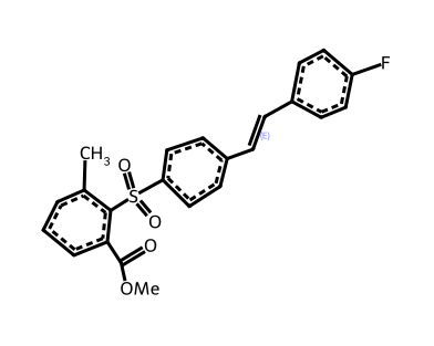 COC(=O)c1cccc(C)c1S(=O)(=O)c1ccc(/C=C/c2ccc(F)cc2)cc1